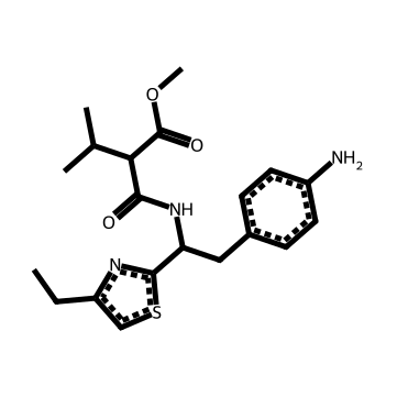 CCc1csc(C(Cc2ccc(N)cc2)NC(=O)C(C(=O)OC)C(C)C)n1